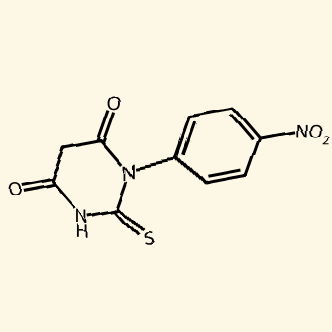 O=C1CC(=O)N(c2ccc([N+](=O)[O-])cc2)C(=S)N1